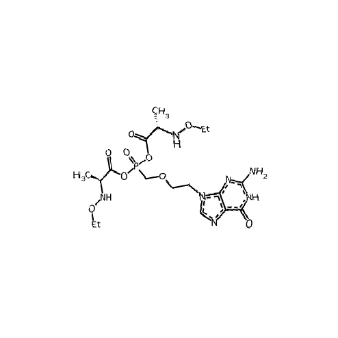 CCON[C@@H](C)C(=O)OP(=O)(COCCn1cnc2c(=O)[nH]c(N)nc21)OC(=O)[C@H](C)NOCC